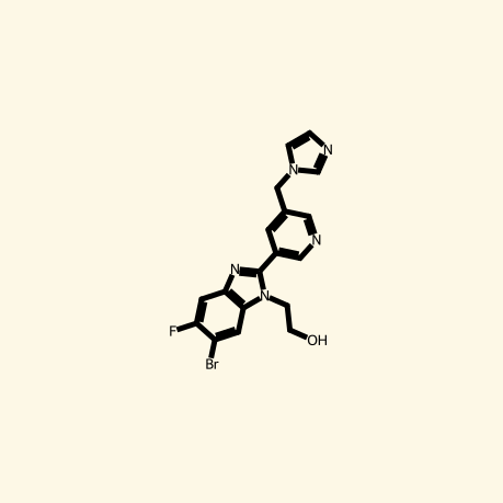 OCCn1c(-c2cncc(Cn3ccnc3)c2)nc2cc(F)c(Br)cc21